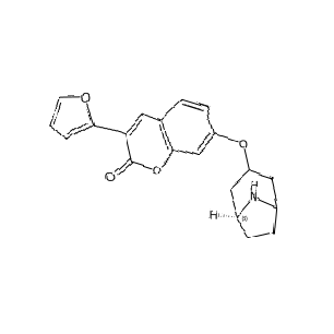 O=c1oc2cc(OC3CC4CC[C@@H](C3)N4)ccc2cc1-c1ccco1